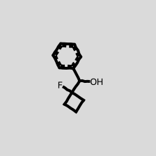 OC(c1ccccc1)C1(F)CCC1